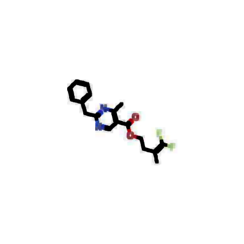 CC(CCOC(=O)c1cnc(Cc2ccccc2)nc1C)=C(F)F